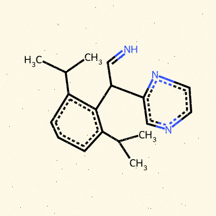 CC(C)c1cccc(C(C)C)c1C(C=N)c1cnccn1